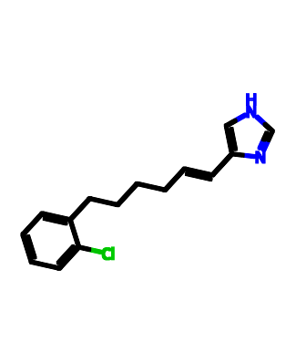 Clc1ccccc1CCCCC=Cc1c[nH]cn1